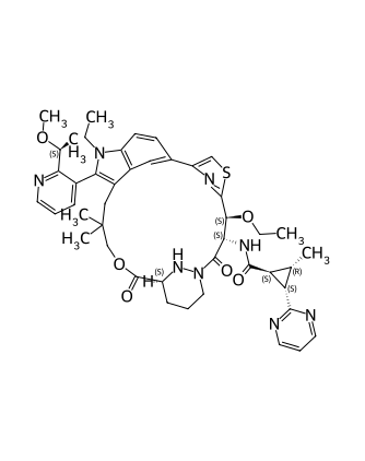 CCO[C@@H]1c2nc(cs2)-c2ccc3c(c2)c(c(-c2cccnc2[C@H](C)OC)n3CC)CC(C)(C)COC(=O)[C@@H]2CCCN(N2)C(=O)[C@H]1NC(=O)[C@H]1[C@H](C)[C@@H]1c1ncccn1